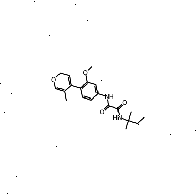 CCC(C)(C)NC(=O)C(=O)Nc1ccc(C2=CCOC=C2C)c(OC)c1